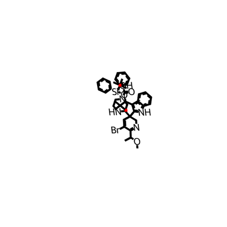 COC(C)C1=NCC(c2[nH]c3ccccc3c2C(O[Si](c2ccccc2)(c2ccccc2)C(C)(C)C)C(C)(C)C)(C2CN(C(=O)O)CCN2)C=C1Br